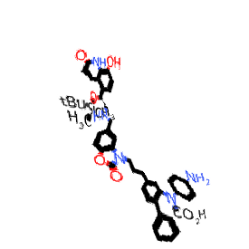 CC(C)(C)[Si](C)(C)O[C@@H](CNCc1ccc2oc(=O)n(CCCc3ccc(-c4ccccc4)c(N(C(=O)O)[C@H]4CC[C@H](N)CC4)c3)c2c1)c1ccc(O)c2[nH]c(=O)ccc12